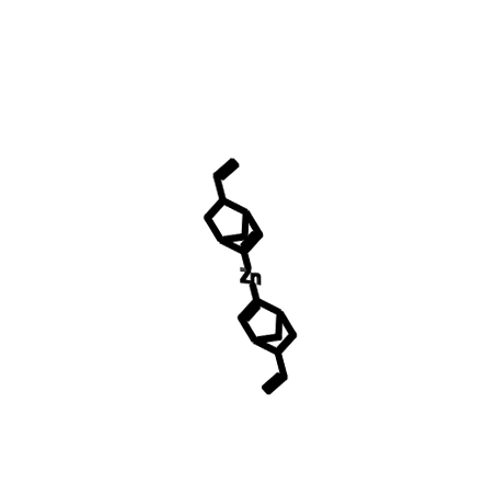 C=CC1CC2CC1C=[C]2[Zn][C]1=CC2CC1CC2C=C